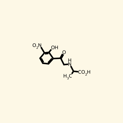 CC(NCC(=O)c1cccc([N+](=O)[O-])c1O)C(=O)O